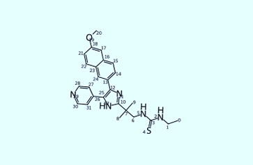 CCNC(=S)NCC(C)(C)c1nc(-c2ccc3cc(OC)ccc3c2)c(-c2ccncc2)[nH]1